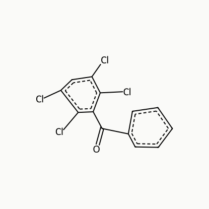 O=C(c1ccccc1)c1c(Cl)c(Cl)cc(Cl)c1Cl